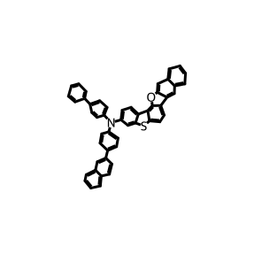 c1ccc(-c2ccc(N(c3ccc(-c4ccc5ccccc5c4)cc3)c3ccc4c(c3)sc3ccc5c6cc7ccccc7cc6oc5c34)cc2)cc1